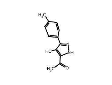 CC(=O)c1[nH]nc(-c2ccc(C)cc2)c1O